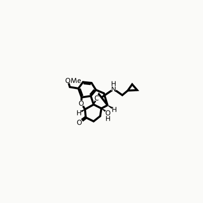 COCc1ccc2c3c1O[C@H]1C(=O)CC[C@@]4(O)[C@@H](C2)C(NCC2CC2)CC[C@]314